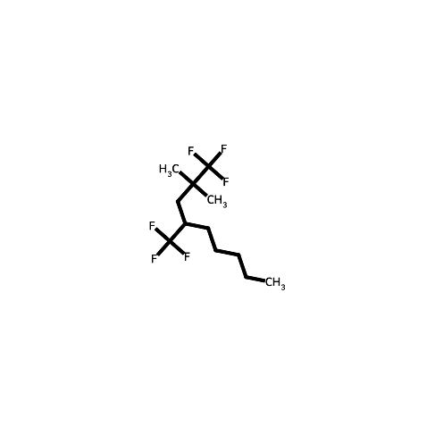 CCCCCC(CC(C)(C)C(F)(F)F)C(F)(F)F